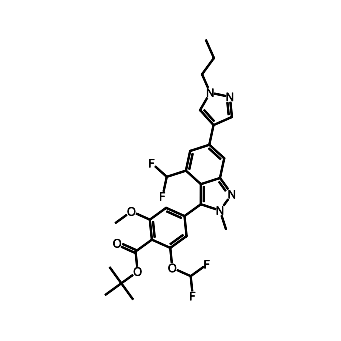 CCCn1cc(-c2cc(C(F)F)c3c(-c4cc(OC)c(C(=O)OC(C)(C)C)c(OC(F)F)c4)n(C)nc3c2)cn1